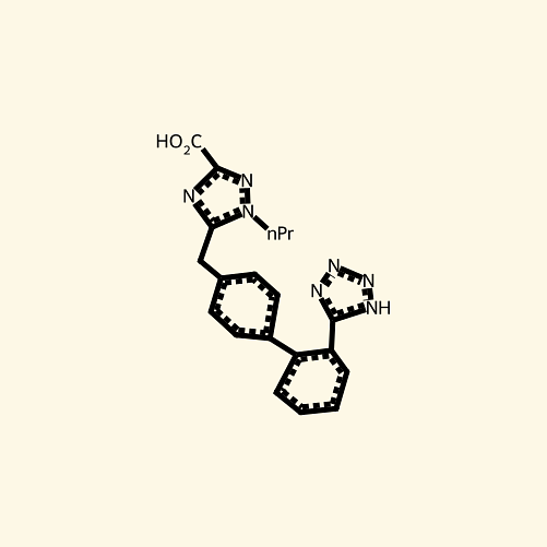 CCCn1nc(C(=O)O)nc1Cc1ccc(-c2ccccc2-c2nnn[nH]2)cc1